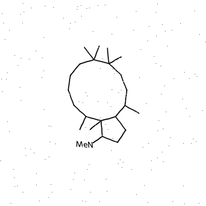 CNC1CCC2C(C)CCC(C)(C)C(C)(C)CCCCC(C)C12C